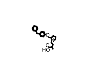 CC(CCN1CCCC1COc1ccc(Cc2ccccc2)cc1)C(=O)O